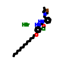 Br.CCCCCCCCCCCCCCOc1ccc(NC(=O)Nc2ccccc2CN2C=C(C)SC2)c(Cl)c1